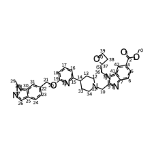 COC(=O)c1ccc2nc(CN3CCC(c4cccc(OCc5ccc6cnn(C)c6c5)n4)CC3)n(C[C@@H]3CCO3)c2c1